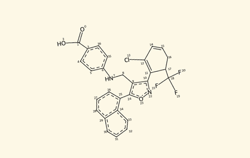 O=C(O)c1ccc(NCc2c(C3=C(Cl)C=CCC3C(F)(F)F)noc2-c2cccc3ccccc23)cc1